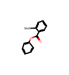 CNc1ccccc1C(=O)Oc1ccccc1